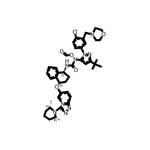 C[C@@H]1CCC[C@H](C)N1c1nnc2ccc(O[C@@H]3CC[C@H](NC(=O)N(OC=O)c4cc(C(C)(C)C)nn4-c4ccc(Cl)c(CN5CCOCC5)c4)c4ccccc43)cn12